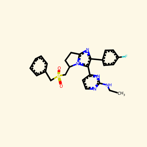 CCNc1nccc(-c2c(-c3ccc(F)cc3)nc3n2C(CS(=O)(=O)Cc2ccccc2)CC3)n1